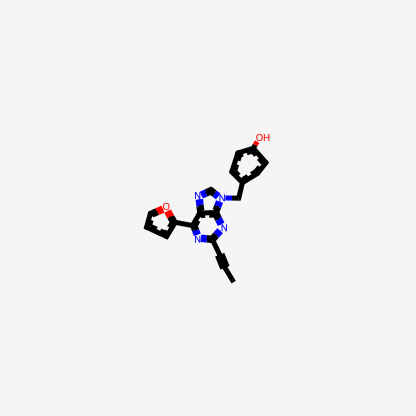 CC#Cc1nc(-c2ccco2)c2ncn(Cc3ccc(O)cc3)c2n1